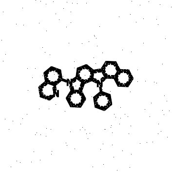 c1ccc(-n2c3c4ccccc4ccc3c3ccc4c(c5ccccc5n4-c4cccc5cccnc45)c32)cc1